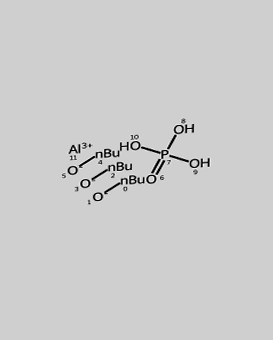 CCCC[O-].CCCC[O-].CCCC[O-].O=P(O)(O)O.[Al+3]